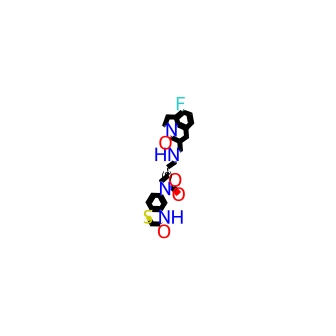 O=C1CSc2ccc(N3C[C@H](CCNCC4Cc5ccc(F)c6c5N(CC6)C4=O)OC3=O)cc2N1